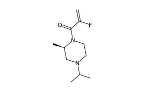 C=C(F)C(=O)N1CCN(C(C)C)C[C@H]1C